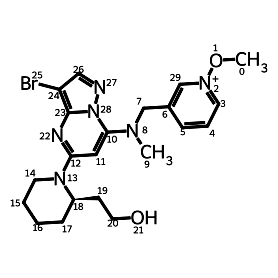 CO[n+]1cccc(CN(C)c2cc(N3CCCC[C@@H]3CCO)nc3c(Br)cnn23)c1